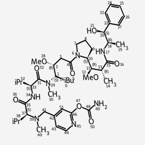 CC[C@H](C)[C@@H]([C@@H](CC(=O)N1CCC[C@H]1[C@H](OC)[C@@H](C)C(=O)N[C@H](C)[C@@H](O)c1ccccc1)OC)N(C)C(=O)[C@@H](NC(=O)[C@H](C(C)C)N(C)Cc1ccnc(OC(N)=O)c1)C(C)C